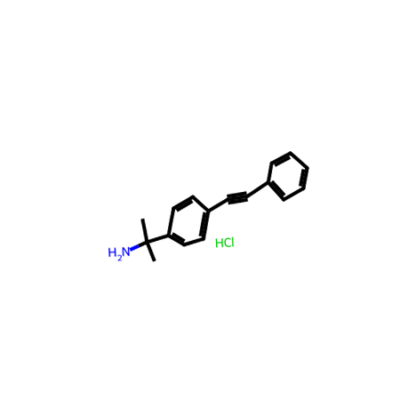 CC(C)(N)c1ccc(C#Cc2ccccc2)cc1.Cl